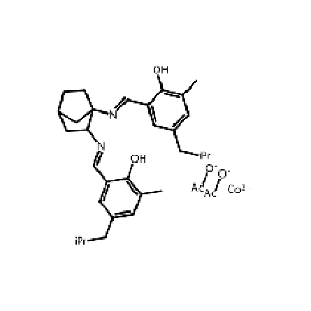 CC(=O)[O-].CC(=O)[O-].Cc1cc(CC(C)C)cc(C=NC2CC3CCC2(N=Cc2cc(CC(C)C)cc(C)c2O)C3)c1O.[Co+2]